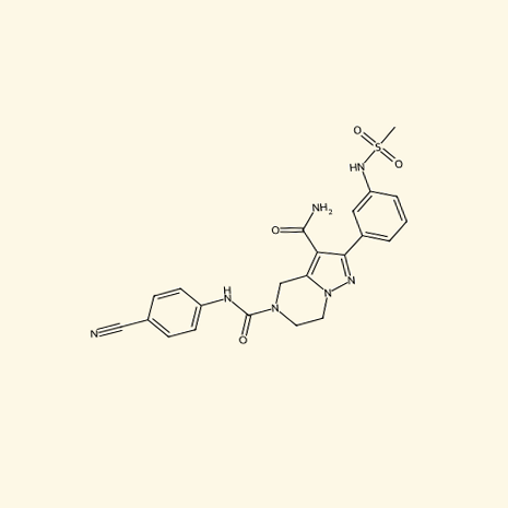 CS(=O)(=O)Nc1cccc(-c2nn3c(c2C(N)=O)CN(C(=O)Nc2ccc(C#N)cc2)CC3)c1